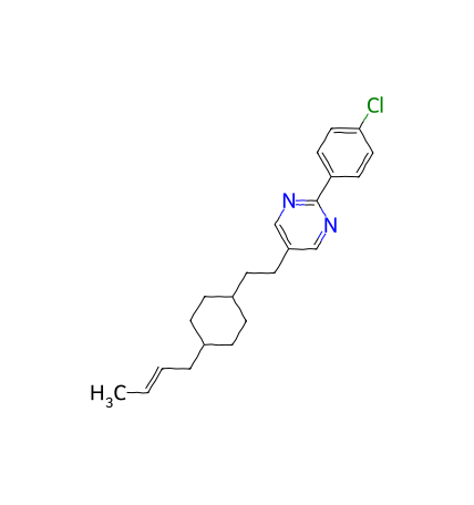 C/C=C/CC1CCC(CCc2cnc(-c3ccc(Cl)cc3)nc2)CC1